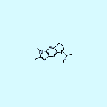 CC(=O)N1CCc2cc3c(cc21)cc(C)n3C